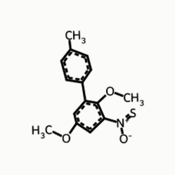 COc1cc(-c2ccc(C)cc2)c(OC)c([N+]([O-])=S)c1